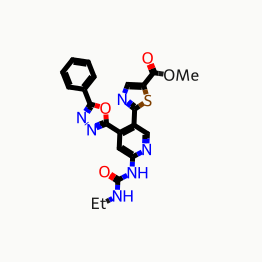 CCNC(=O)Nc1cc(-c2nnc(-c3ccccc3)o2)c(-c2ncc(C(=O)OC)s2)cn1